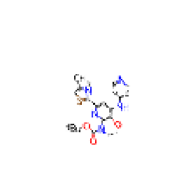 Cc1csc(-c2cc(Nc3ccncc3)c3c(n2)N(C(=O)OC(C)(C)C)CCO3)n1